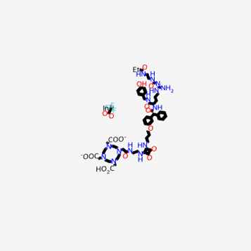 CCC(=O)NCCNC(=O)/N=C(/N)NCCCC(NC(=O)[C@H](c1ccccc1)c1cccc(OCCCCNc2c(NCCNC(=O)CN3CCN(CC(=O)[O-])CCN(CC(=O)[O-])CCN(CC(=O)O)CC3)c(=O)c2=O)c1)C(=O)NCc1ccc(O)cc1.O=C([O-])C(F)(F)F.[In+3]